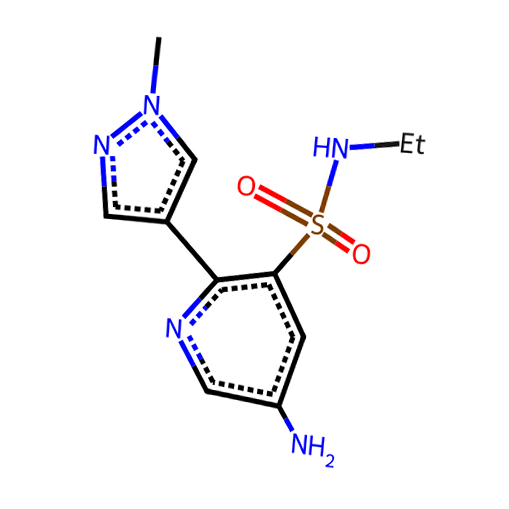 CCNS(=O)(=O)c1cc(N)cnc1-c1cnn(C)c1